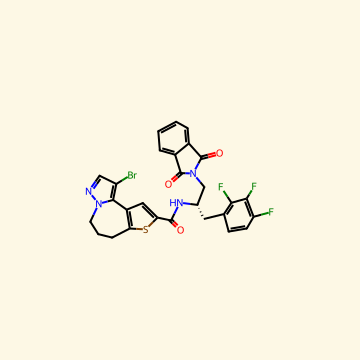 O=C(N[C@@H](Cc1ccc(F)c(F)c1F)CN1C(=O)c2ccccc2C1=O)c1cc2c(s1)CCCn1ncc(Br)c1-2